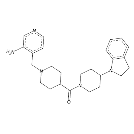 Nc1cnccc1CN1CCC(C(=O)N2CCC(N3CCc4ccccc43)CC2)CC1